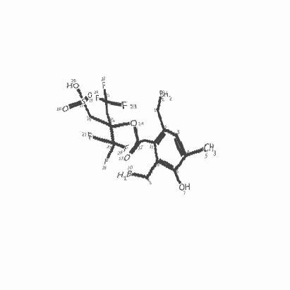 BCc1cc(C)c(O)c(CB)c1C(=O)OC(CS(=O)(=O)O)(C(F)(F)F)C(F)(F)F